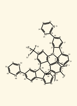 Fc1c(F)c(F)c(-c2c(-n3c4ccccc4c4ccc(-c5ncccn5)cc43)cc(C(F)(F)F)cc2-n2c3ccccc3c3ccc(-c4ncccn4)cc32)c(F)c1F